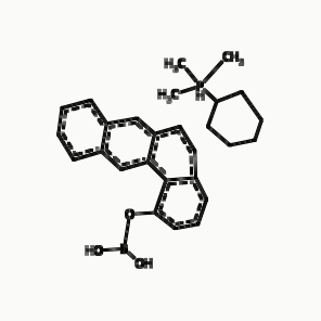 C[PH](C)(C)C1CCCCC1.OB(O)Oc1cccc2ccc3cc4ccccc4cc3c12